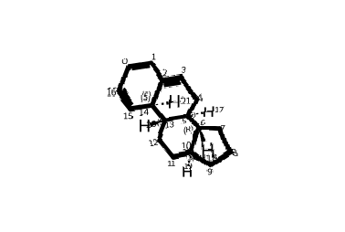 C1=CC2=CC[C@H]3[C@@H]4CCC[C@H]4CC[C@@H]3[C@H]2C=C1